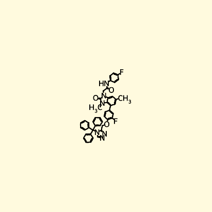 Cc1cc(-c2ccc(OCc3nncn3C(c3ccccc3)(c3ccccc3)c3ccccc3)c(F)c2)c2c(c1)n(CC(=O)Nc1ccc(F)cc1)c(=O)n2C